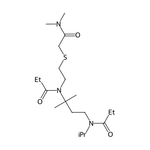 CCC(=O)N(CCC(C)(C)N(CCSCC(=O)N(C)C)C(=O)CC)C(C)C